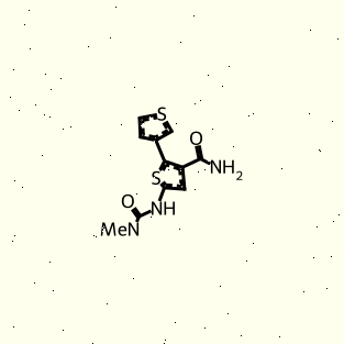 CNC(=O)Nc1cc(C(N)=O)c(-c2ccsc2)s1